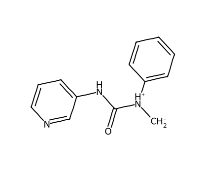 [CH2-][NH+](C(=O)Nc1cccnc1)c1ccccc1